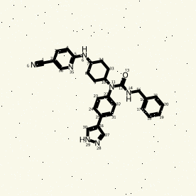 N#Cc1ccc(NC2CCC(N(C(=O)NCc3ccccc3)c3ccc(-c4cn[nH]c4)cc3)CC2)nc1